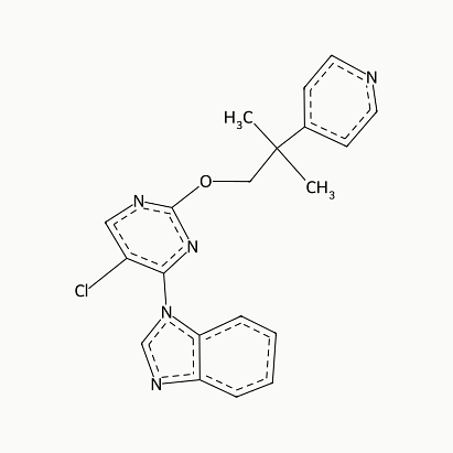 CC(C)(COc1ncc(Cl)c(-n2cnc3ccccc32)n1)c1ccncc1